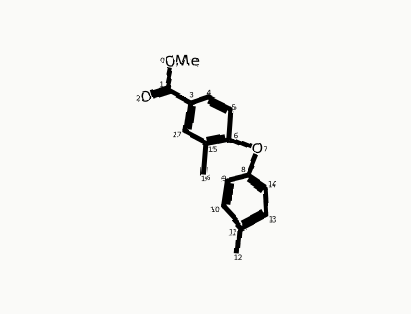 COC(=O)c1ccc(Oc2ccc(C)cc2)c(C)c1